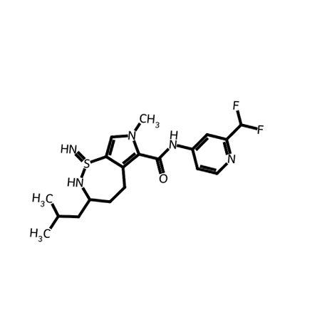 CC(C)CC1CCc2c(cn(C)c2C(=O)Nc2ccnc(C(F)F)c2)S(=N)N1